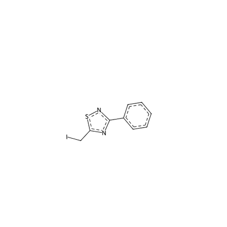 ICc1nc(-c2ccccc2)ns1